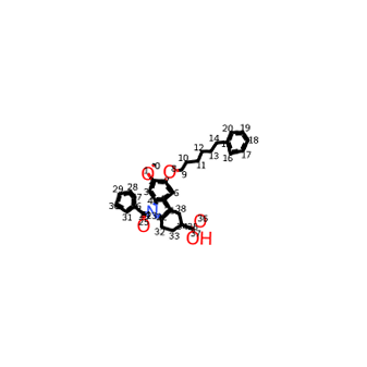 COc1cc2c(cc1OCCCCCCc1ccccc1)c1c(n2C(=O)c2ccccc2)CCC(C(=O)O)C1